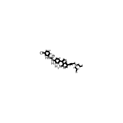 CCCN(CC#Cc1cnc(N)c2c(-c3ccc(NC(=O)Nc4cccc(Cl)c4)cc3)csc12)CCC